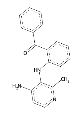 Cc1nccc(N)c1Nc1ccccc1C(=O)c1ccccc1